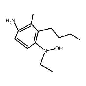 CCCCc1c(N(O)CC)ccc(N)c1C